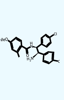 COc1ccc(C(=O)N[C@@H](c2ccc(Cl)cc2)[C@H](N)c2ccc(Cl)cc2)c(C)c1